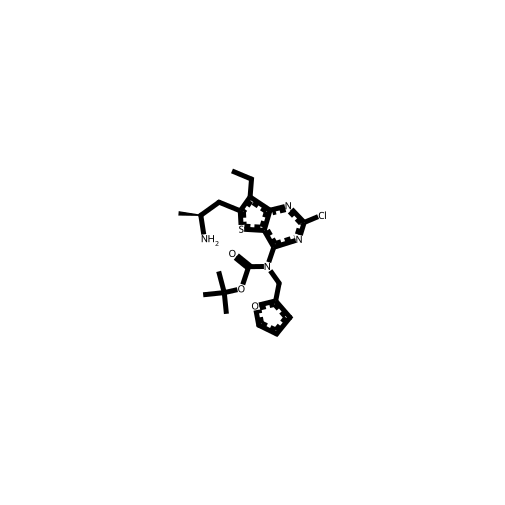 CCc1c(C[C@H](C)N)sc2c(N(Cc3ccco3)C(=O)OC(C)(C)C)nc(Cl)nc12